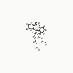 CCCCCCC(C)(CCCCCC)C1c2ccccc2CSc2ccccc21